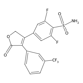 NS(=O)(=O)c1c(F)cc(C2=C(c3cccc(C(F)(F)F)c3)C(=O)OC2)cc1F